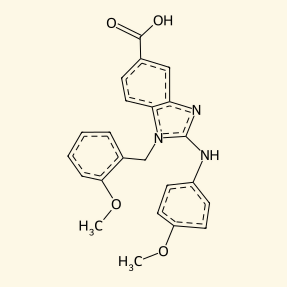 COc1ccc(Nc2nc3cc(C(=O)O)ccc3n2Cc2ccccc2OC)cc1